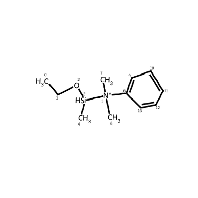 CCO[SiH](C)[N+](C)(C)c1ccccc1